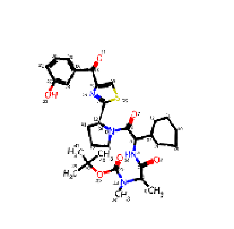 CC(C(=O)NC(C(=O)N1CCC[C@H]1c1nc(C(=O)c2cccc(O)c2)cs1)C1CCCCC1)N(C)C(=O)OC(C)(C)C